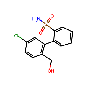 NS(=O)(=O)c1ccccc1-c1cc(Cl)ccc1CO